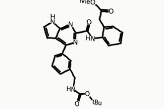 COC(=O)Cc1ccccc1NC(=O)c1nc(-c2cccc(CNC(=O)OC(C)(C)C)c2)c2cc[nH]c2n1